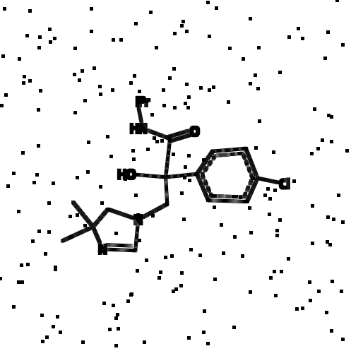 CC(C)NC(=O)C(O)(CN1C=NC(C)(C)C1)c1ccc(Cl)cc1